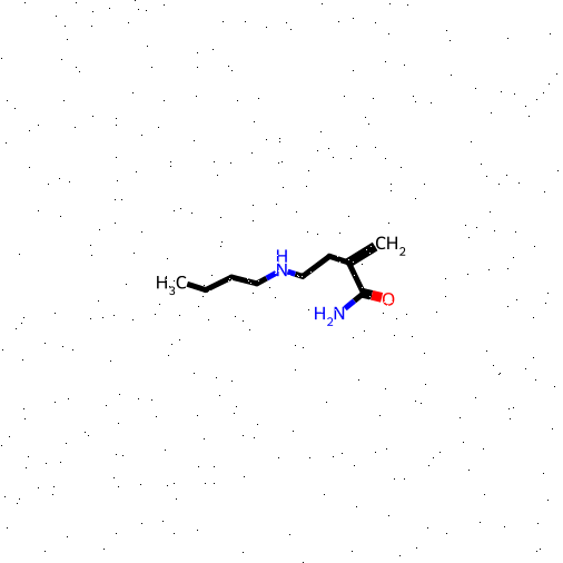 C=C(CCNCCCC)C(N)=O